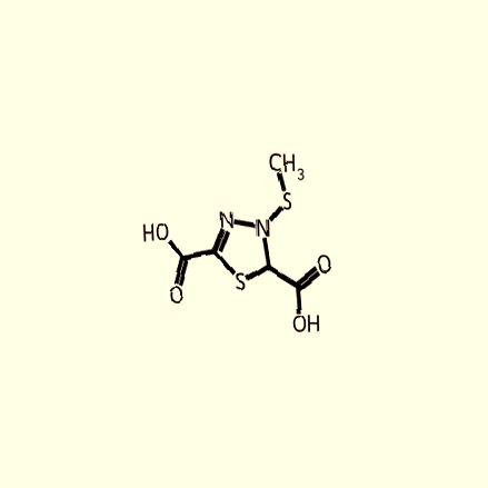 CSN1N=C(C(=O)O)SC1C(=O)O